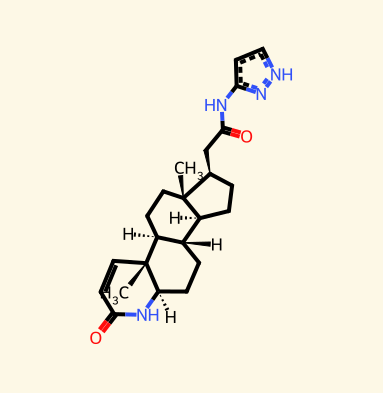 C[C@]12C=CC(=O)N[C@@H]1CC[C@@H]1[C@@H]2CC[C@]2(C)[C@@H](CC(=O)Nc3cc[nH]n3)CC[C@@H]12